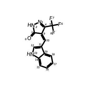 O=C1NN=C(C(F)(F)F)/C1=C/c1c[nH]c2ccccc12